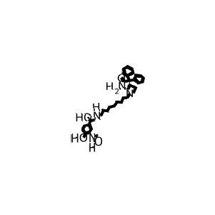 NC(=O)C(c1ccccc1)(c1ccccc1)[C@@H]1CCN(CCCCCCCCCNC[C@H](O)c2ccc(O)c(NC=O)c2)C1